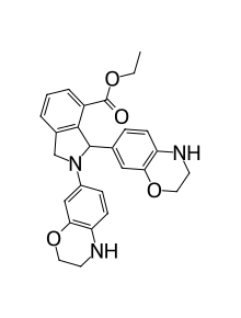 CCOC(=O)c1cccc2c1C(c1ccc3c(c1)OCCN3)N(c1ccc3c(c1)OCCN3)C2